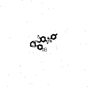 COc1ccc(N(C)S(=O)(=O)c2ccc(C)cc2)cc1CN[C@@H]1CCCN[C@@H]1c1ccccc1.Cl.Cl